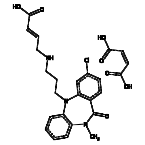 CN1C(=O)c2ccc(Cl)cc2N(CCCNC/C=C/C(=O)O)c2ccccc21.O=C(O)/C=C\C(=O)O